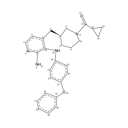 Nc1nccc(C[C@@H]2CCCN(C(=O)C3CC3)C2)c1Nc1ccc(Oc2ccccc2)cc1